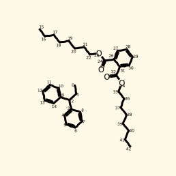 CCC(c1ccccc1)c1ccccc1.CCCCCCCCOC(=O)c1ccccc1C(=O)OCCCCCCCC